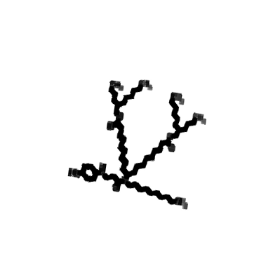 CCCCCCCCCCN(C(=O)CCNC1CCC(O)CC1)C(CCCCCCCCC(=O)OCC(CCCC)CCCCCC)CCCCCCCCC(=O)OCC(CCCC)CCCCCC